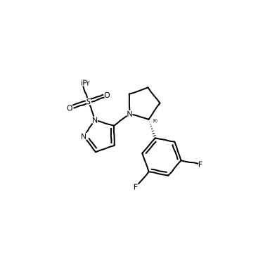 CC(C)S(=O)(=O)n1nccc1N1CCC[C@@H]1c1cc(F)cc(F)c1